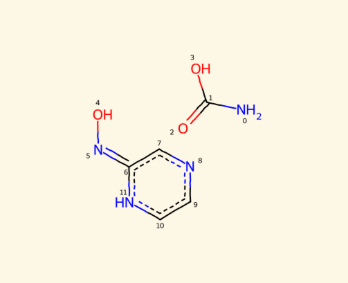 NC(=O)O.ON=c1cncc[nH]1